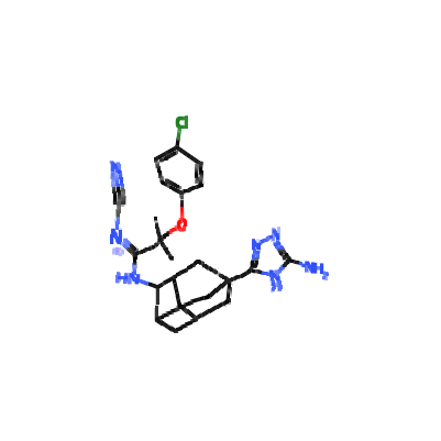 CC(C)(Oc1ccc(Cl)cc1)/C(=N\C#N)NC1C2CC3CC1CC(c1nnc(N)[nH]1)(C3)C2